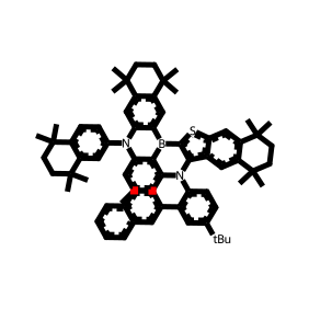 Cc1cc2c3c(c1)N(c1ccc(C(C)(C)C)cc1-c1ccc4ccccc4c1)c1c(sc4cc5c(cc14)C(C)(C)CCC5(C)C)B3c1cc3c(cc1N2c1ccc2c(c1)C(C)(C)CCC2(C)C)C(C)(C)CCC3(C)C